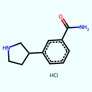 Cl.NC(=O)c1cccc(C2CCNC2)c1